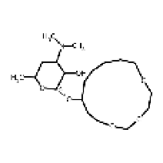 CC1CC(N(C)C)C(O)[C@H](OC2CCCCCCCCCCCCC2)O1